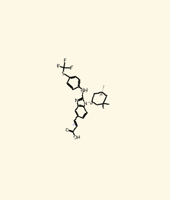 C[C@H]1C[C@@H](n2c(Nc3ccc(SC(F)(F)F)cc3)nc3cc(/C=C/C(=O)O)ccc32)CC(C)(C)C1